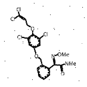 CNC(=O)C(=NOC)c1ccccc1COc1cc(Cl)c(OCC=C(Cl)Cl)c(Cl)c1